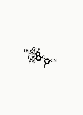 CC(C)(C)[S@@+]([O-])N[C@H]1c2c(S(=O)(=O)C(F)F)ccc(Oc3cc(F)cc(C#N)c3)c2CC1(F)F